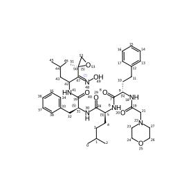 CC(C)CC[C@H](NC(=O)[C@H](CCc1ccccc1)NC(=O)CN1CCOCC1)C(=O)N[C@@H](Cc1ccccc1)C(=O)NC(CC(C)C)/C(=N/O)[C@@]1(C)CO1